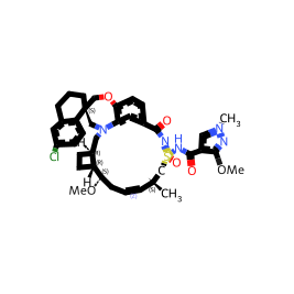 COc1nn(C)cc1C(=O)NS1(=O)=NC(=O)c2ccc3c(c2)N(C[C@@H]2CC[C@H]2[C@@H](OC)C/C=C\[C@H](C)C1)C[C@@]1(CCCc2cc(Cl)ccc21)CO3